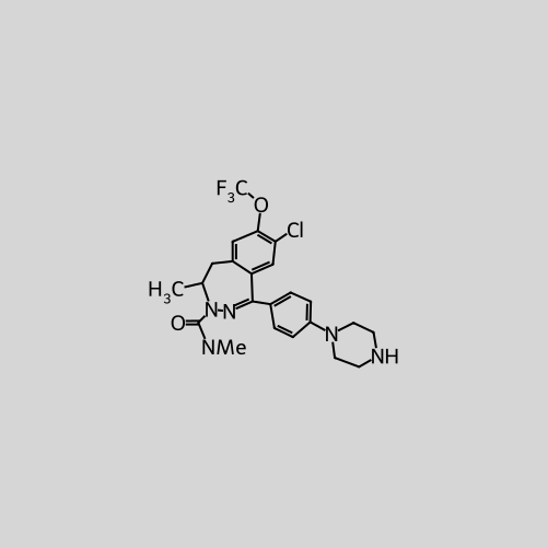 CNC(=O)N1N=C(c2ccc(N3CCNCC3)cc2)c2cc(Cl)c(OC(F)(F)F)cc2CC1C